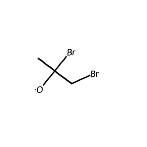 CC([O])(Br)CBr